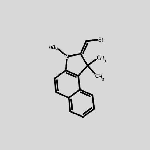 CC/C=C1/N(CCCC)c2ccc3ccccc3c2C1(C)C